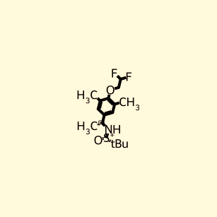 Cc1cc([C@@H](C)N[S+]([O-])C(C)(C)C)cc(C)c1OCC(F)F